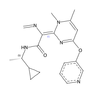 C=N/C(C(=O)N[C@@H](C)C1CC1)=C1/N=C(Oc2cccnc2)C=C(C)N1C